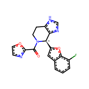 O=C(c1ncco1)N1CCc2[nH]cnc2[C@H]1c1cc2cccc(F)c2o1